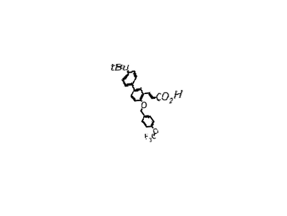 CC(C)(C)c1ccc(-c2ccc(OCc3ccc(OC(F)(F)F)cc3)c(/C=C/C(=O)O)c2)cc1